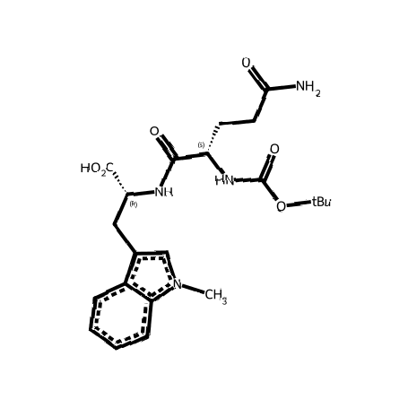 Cn1cc(C[C@@H](NC(=O)[C@H](CCC(N)=O)NC(=O)OC(C)(C)C)C(=O)O)c2ccccc21